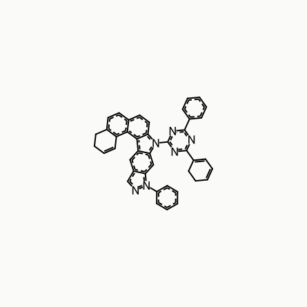 C1=CCCC(c2nc(-c3ccccc3)nc(-n3c4cc5c(cnn5-c5ccccc5)cc4c4c5c6c(ccc5ccc43)CCC=C6)n2)=C1